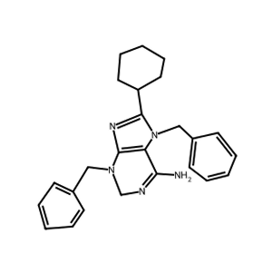 NC1=NCN(Cc2ccccc2)c2nc(C3CCCCC3)n(Cc3ccccc3)c21